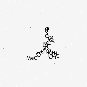 COc1ccc(COC(=O)c2nc(N3CCCc4c3nnc(Cl)c4C)ccc2-c2cnn(CC34CC5(C)CC(C)(C3)CC(OCCN3CCCC3)(C5)C4)c2C)cc1